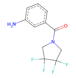 Nc1cccc(C(=O)N2CC(F)(F)C(F)(F)C2)c1